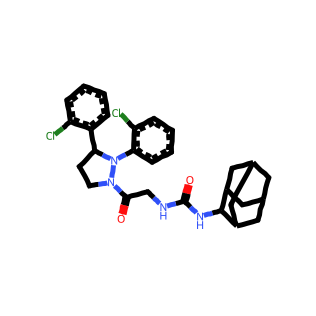 O=C(NCC(=O)N1CCC(c2ccccc2Cl)N1c1ccccc1Cl)NC1C2CC3CC(C2)CC1C3